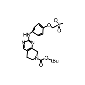 CC(C)(C)OC(=O)N1CCc2cnc(Nc3ccc(OCS(C)(=O)=O)cc3)nc2C1